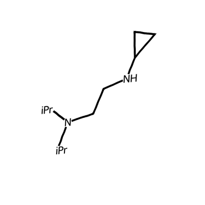 CC(C)N(CCNC1CC1)C(C)C